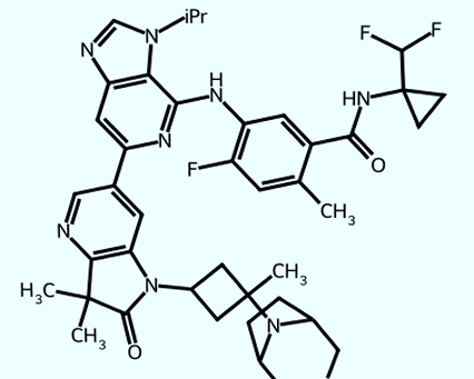 Cc1cc(F)c(Nc2nc(-c3cnc4c(c3)N(C3CC(C)(N5C6CCC5COC6)C3)C(=O)C4(C)C)cc3ncn(C(C)C)c23)cc1C(=O)NC1(C(F)F)CC1